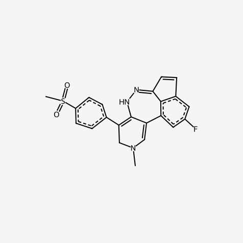 CN1C=C2C(=C(c3ccc(S(C)(=O)=O)cc3)C1)NN=C1C=Cc3cc(F)cc2c31